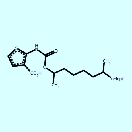 CCCCCCCC(C)CCCCC(C)OC(=O)Nc1sccc1C(=O)O